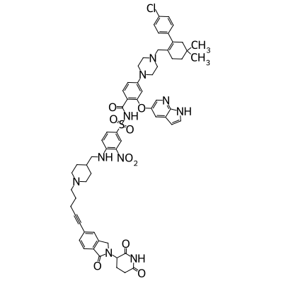 CC1(C)CCC(CN2CCN(c3ccc(C(=O)NS(=O)(=O)c4ccc(NCC5CCN(CCCC#Cc6ccc7c(c6)CN(C6CCC(=O)NC6=O)C7=O)CC5)c([N+](=O)[O-])c4)c(Oc4cnc5[nH]ccc5c4)c3)CC2)=C(c2ccc(Cl)cc2)C1